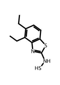 CCc1ccc2sc(NS)nc2c1CC